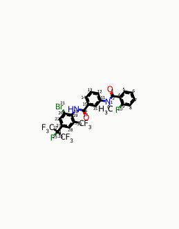 CN(C(=O)c1ccccc1F)c1cccc(C(=O)Nc2c(Br)cc(C(F)(C(F)(F)F)C(F)(F)F)cc2C(F)(F)F)c1